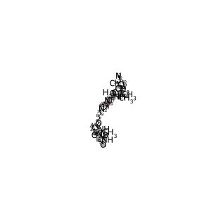 CC1Nc2c(OCCCCCN3CCN(c4ccc(C(=O)N[C@H]5C(C)(C)[C@H](Oc6ccc(C#N)c(Cl)c6)C5(C)C)cn4)CC3)cccc2C(=O)N1C1CCC(=O)NC1=O